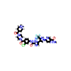 CNC(=O)c1ccc(-n2cc(-c3cnc(C(=O)Nc4ccc(C(=O)N5CCN(C(=O)C6CC[N+](C)(C)CC6)CC5)c(Cl)c4)[nH]3)c(C(F)(F)F)n2)nc1